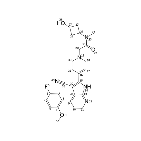 COc1ccc(F)cc1-c1ccnc2[nH]c(C3=CCN(CC(=O)N(C)C4CC(O)C4)CC3)c(C#N)c12